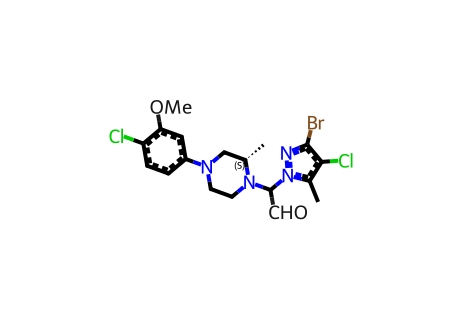 COc1cc(N2CCN(C(C=O)n3nc(Br)c(Cl)c3C)[C@@H](C)C2)ccc1Cl